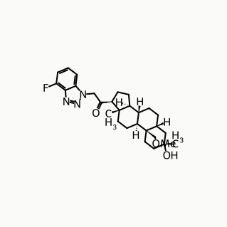 COC[C@]12CC[C@@](C)(O)C[C@H]1CC[C@H]1[C@@H]3CC[C@H](C(=O)Cn4nnc5c(F)cccc54)[C@@]3(C)CC[C@@H]12